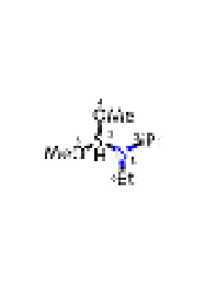 CCN(C(C)C)[SiH](OC)OC